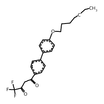 CCCCCCCOc1ccc(-c2ccc(C(=O)CC(=O)C(F)(F)F)cc2)cc1